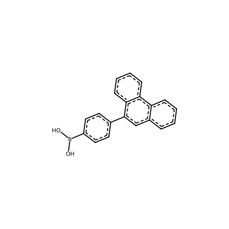 OB(O)c1ccc(-c2cc3ccccc3c3ccccc23)cc1